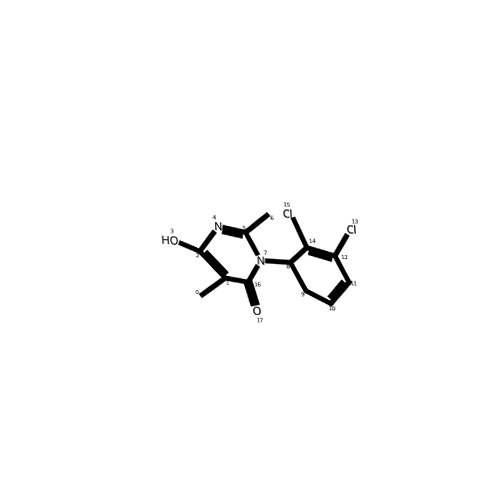 Cc1c(O)nc(C)n(C2CC=CC(Cl)=C2Cl)c1=O